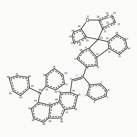 C(=C(/c1ccccc1)c1ccc2c(c1)-c1ccccc1C21c2ccccc2Oc2ccccc21)/c1ccc2sc3cccc(N(c4ccccc4)c4ccccc4)c3c2c1